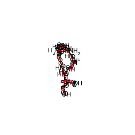 CN(CCCC(=O)NC(CCCCNC(=O)CCOCCOCCOCCOCCN)C(=O)NCCNC(=O)c1cccc(OCC(N=[N+]=[N-])OCCOCC(=O)NCC#Cc2cn([C@H]3C[C@@H](OCN=[N+]=[N-])[C@@H](COP(=O)(O)PP(=O)(O)PP(=O)(O)O)O3)c3ncnc(N)c23)c1)C(=O)c1ccccc1-c1c2cc3c(cc2[o+]c2cc4c(cc12)CCCN4CCCS(=O)(=O)O)N(CCCS(=O)(=O)O)CCC3